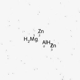 [AlH3].[MgH2].[Zn].[Zn]